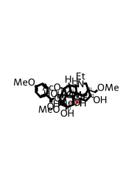 CCN1C[C@]2(COC)[C@H](O)C[C@H](OC)[C@@]34[C@@H]5C[C@@]6(O)[C@H](OC(=O)c7ccc(OC)cc7)[C@@H]5[C@@](OC(C)=O)([C@@H]([C@H](OC)[C@H]23)[C@@H]14)[C@@H](O)[C@@H]6OC